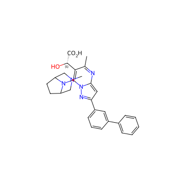 Cc1nc2cc(-c3cccc(-c4ccccc4)c3)nn2c(N2C3CCC2CN(C)C3)c1[C@H](O)C(=O)O